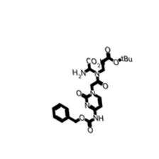 CC(C)(C)OC(=O)CCN(C(=O)Cn1ccc(NC(=O)OCc2ccccc2)nc1=O)C(N)C(=O)O